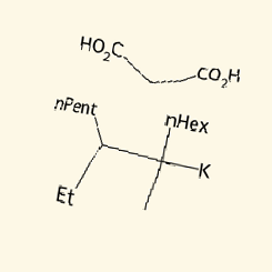 CCCCCC[C](C)([K])C(CC)CCCCC.O=C(O)CC(=O)O